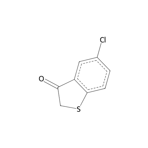 O=C1CSc2ccc(Cl)cc21